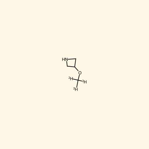 [2H]C([2H])([2H])OC1CNC1